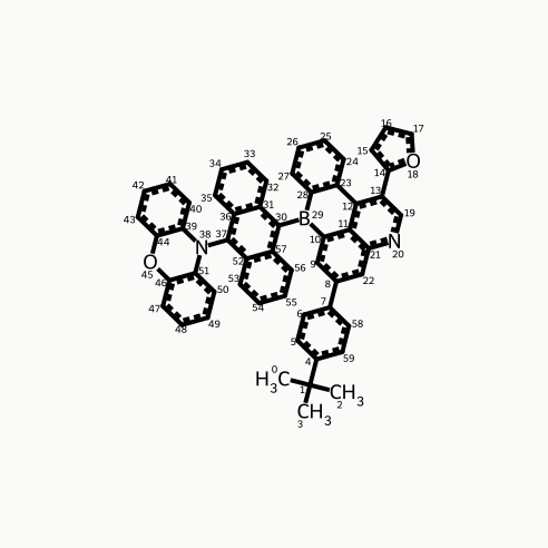 CC(C)(C)c1ccc(-c2cc3c4c(c(-c5ccco5)cnc4c2)-c2ccccc2B3c2c3ccccc3c(N3c4ccccc4Oc4ccccc43)c3ccccc23)cc1